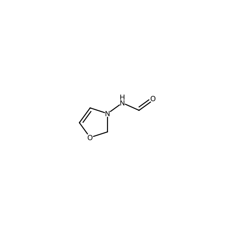 O=CNN1C=COC1